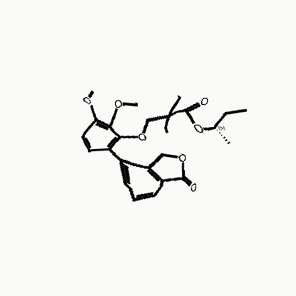 CC[C@H](C)OC(=O)C(C)(C)COc1c(-c2cccc3c2COC3=O)ccc(OC)c1OC